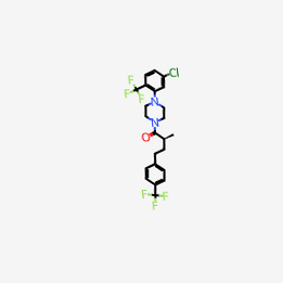 C[C@@H](CCc1ccc(C(F)(F)F)cc1)C(=O)N1CCN(c2cc(Cl)ccc2C(F)(F)F)CC1